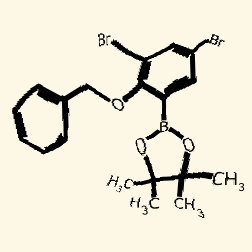 CC1(C)OB(c2cc(Br)cc(Br)c2OCc2ccccc2)OC1(C)C